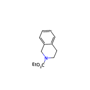 CCOC(=O)N1CCc2c[c]ccc2C1